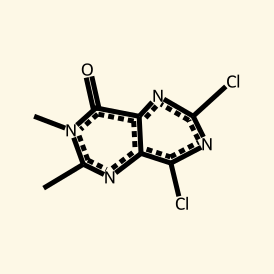 Cc1nc2c(Cl)nc(Cl)nc2c(=O)n1C